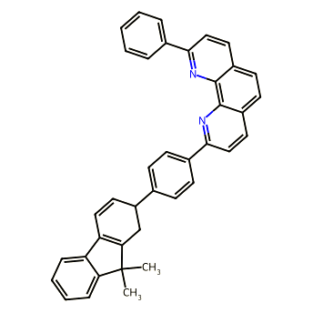 CC1(C)C2=C(C=CC(c3ccc(-c4ccc5ccc6ccc(-c7ccccc7)nc6c5n4)cc3)C2)c2ccccc21